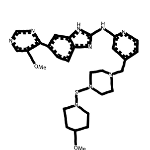 COc1cncnc1-c1ccc2nc(Nc3cc(CN4CCN(SN5CCC(OC)CC5)CC4)ccn3)[nH]c2c1